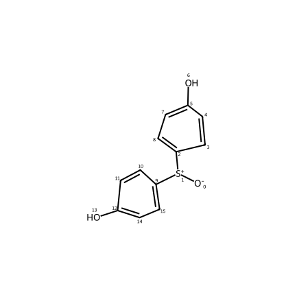 [O-][S+](c1ccc(O)cc1)c1ccc(O)cc1